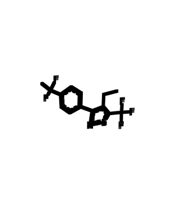 CCc1c(-c2ccc(C(C)(F)F)cc2)nsc1C(F)(F)F